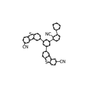 N#Cc1ccc2sc3ccc(-c4cc(-c5ccc6sc7ccc(C#N)cc7c6c5)cc(-c5cccc(-c6ccccc6)c5C#N)c4)cc3c2c1